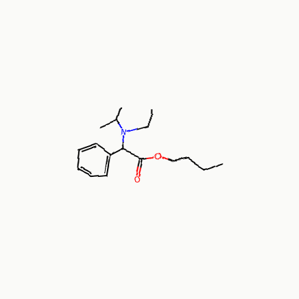 CCCCOC(=O)C(c1ccccc1)N(CC)C(C)C